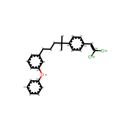 CC(C)(CCCc1cccc(Oc2ccccc2)c1)c1ccc(C=C(Cl)Cl)cc1